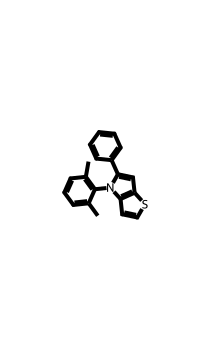 Cc1cccc(C)c1-n1c(-c2ccccc2)cc2sccc21